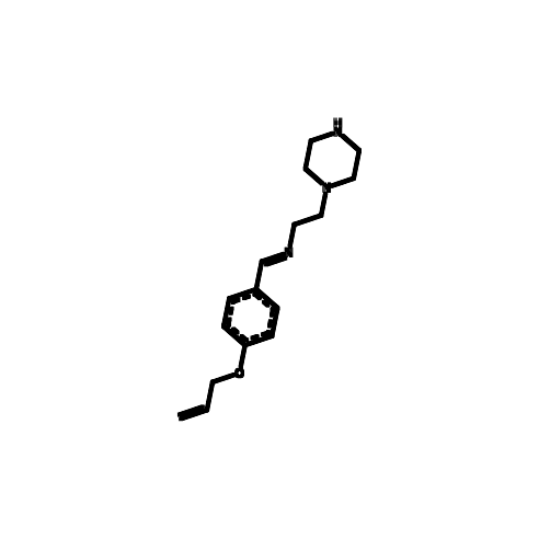 C=CCOc1ccc(C=NCCN2CCNCC2)cc1